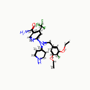 CCOc1cc(CN(c2cc(C(F)(F)F)c(C(N)=O)cn2)C2CCNCC2)cc(OCC)c1F